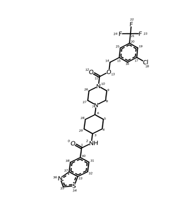 O=C(NC1CCC(N2CCN(C(=O)OCc3cc(Cl)cc(C(F)(F)F)c3)CC2)CC1)c1ccc2scnc2c1